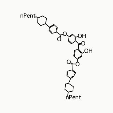 CCCCCC1CCC(c2ccc(C(=O)Oc3ccc(C(=O)c4ccc(OC(=O)c5ccc(C6CCC(CCCCC)CC6)cc5)cc4O)c(O)c3)cc2)CC1